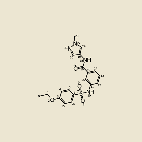 CCOc1ccc(S(=O)(=O)Nc2cccc(C(=O)Nc3cnn(C)c3)c2)cc1